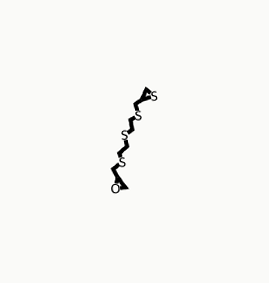 C(CSCC1CO1)SCCSCC1CS1